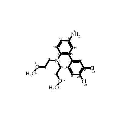 COCCN(CCOC)c1ccc(N)cc1-c1ccc(Cl)c(Cl)c1